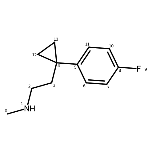 CNCCC1(c2ccc(F)cc2)CC1